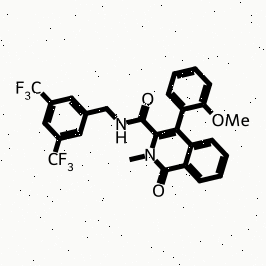 COc1ccccc1-c1c(C(=O)NCc2cc(C(F)(F)F)cc(C(F)(F)F)c2)n(C)c(=O)c2ccccc12